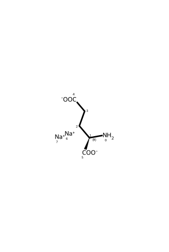 N[C@H](CCC(=O)[O-])C(=O)[O-].[Na+].[Na+]